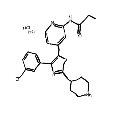 CCC(=O)Nc1cc(-c2sc(C3CCNCC3)nc2-c2cccc(Cl)c2)ccn1.Cl.Cl